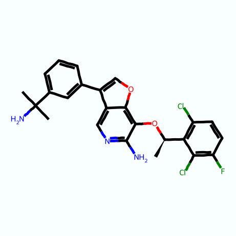 C[C@@H](Oc1c(N)ncc2c(-c3cccc(C(C)(C)N)c3)coc12)c1c(Cl)ccc(F)c1Cl